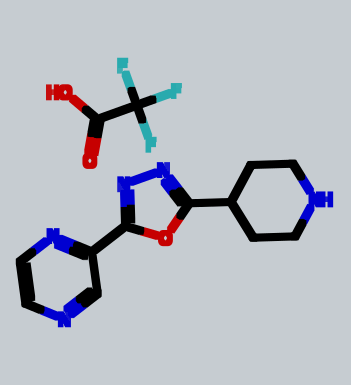 O=C(O)C(F)(F)F.c1cnc(-c2nnc(C3CCNCC3)o2)cn1